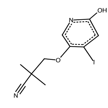 CC(C)(C#N)COc1cnc(O)cc1I